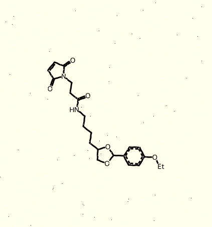 CCOc1ccc(C2OCC(CCCCNC(=O)CCN3C(=O)C=CC3=O)O2)cc1